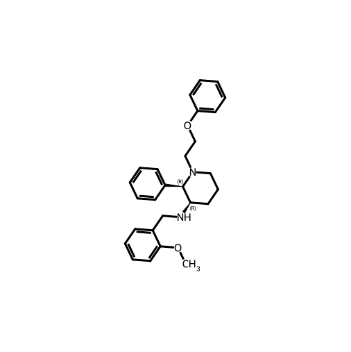 COc1ccccc1CN[C@@H]1CCCN(CCOc2ccccc2)[C@@H]1c1ccccc1